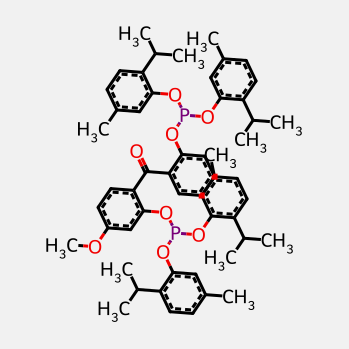 COc1ccc(C(=O)c2ccccc2OP(Oc2cc(C)ccc2C(C)C)Oc2cc(C)ccc2C(C)C)c(OP(Oc2cc(C)ccc2C(C)C)Oc2cc(C)ccc2C(C)C)c1